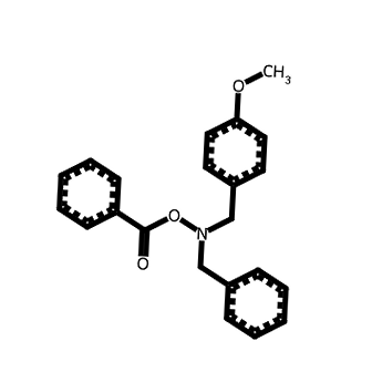 COc1ccc(CN(Cc2ccccc2)OC(=O)c2ccccc2)cc1